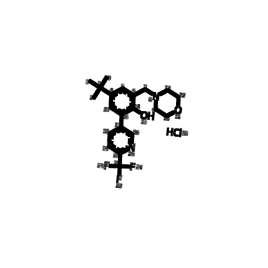 CC(C)(C)c1cc(CN2CCOCC2)c(O)c(-c2ccc(C(F)(F)F)nc2)c1.Cl